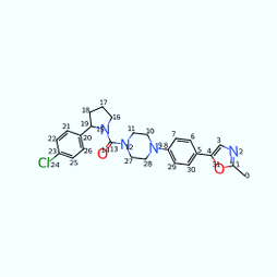 Cc1ncc(-c2ccc(N3CCN(C(=O)N4CCCC4c4ccc(Cl)cc4)CC3)cc2)o1